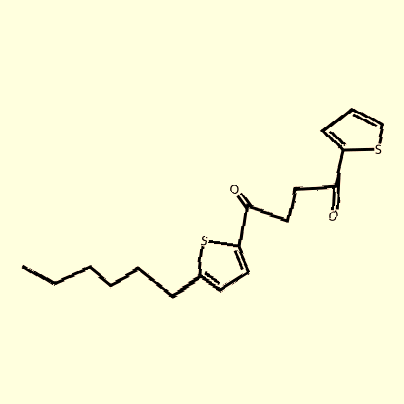 CCCCCCc1ccc(C(=O)CCC(=O)c2cccs2)s1